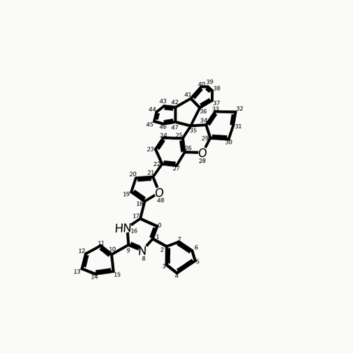 C1=C(c2ccccc2)N=C(c2ccccc2)NC1c1ccc(-c2ccc3c(c2)Oc2ccccc2C32c3ccccc3-c3ccccc32)o1